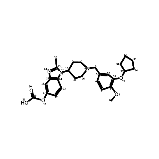 COc1ccc(CN2CCC(n3c(C)nc4cc(OC(=O)O)ccc43)CC2)cc1OC1CCCC1